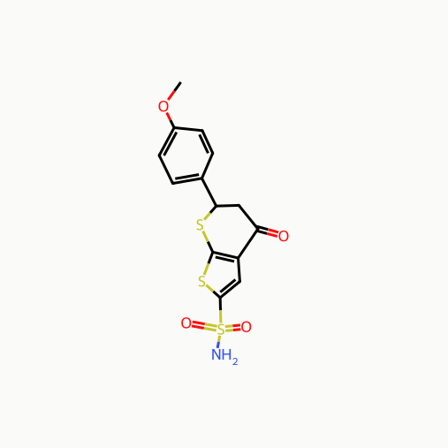 COc1ccc(C2CC(=O)c3cc(S(N)(=O)=O)sc3S2)cc1